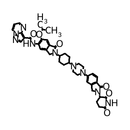 CC(C)Oc1cc2c(cc1NC(=O)c1cnn3cccnc13)CN(C1CCC(N3CCN(c4ccc5c(c4)CN(C4CCC(=O)NC4=O)C5=O)CC3)CC1)C2=O